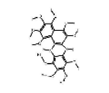 CCOc1c(OCC)c(OCC)c2c(c1OI)N(I)c1c(OI)c(OI)c3c(OI)c(OI)c(OI)c(OI)c3c1N2I